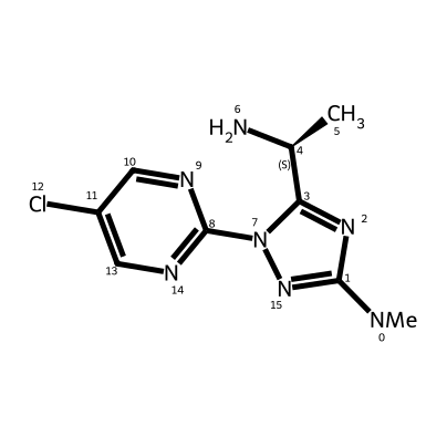 CNc1nc([C@H](C)N)n(-c2ncc(Cl)cn2)n1